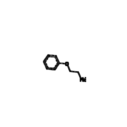 [Pb][CH2]COc1ccccc1